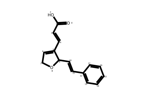 O=C(O)C=CC1=CCOC1C=Cc1ccccc1